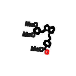 COC(=O)c1ccc(CCc2cccc3c2/C(=C/c2cc(OC)cc(OC)c2)CC3)cc1